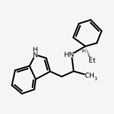 CC[C@]1(NC(C)Cc2c[nH]c3ccccc23)C=CC=CC1